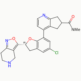 CNC(=O)C1Cc2nccc(-c3cc(Cl)cc4c3O[C@@H](c3onc5c3CNCC5)C4)c2C1